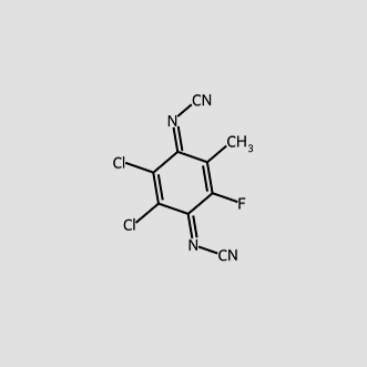 CC1=C(F)C(=N\C#N)/C(Cl)=C(Cl)C/1=N/C#N